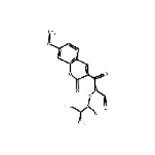 COc1ccc2cc(C(=O)N(C=O)N[S+]([O-])C(C)C)c(=O)oc2c1